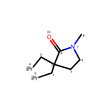 CC(C)CC1(CC(C)C)CCN(C)C1=O